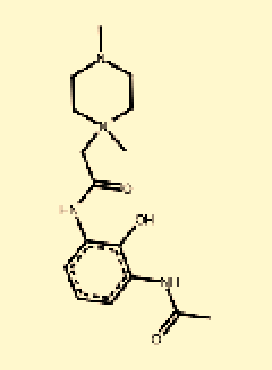 CC(=O)Nc1cccc(NC(=O)C[N+]2(C)CCN(C)CC2)c1O